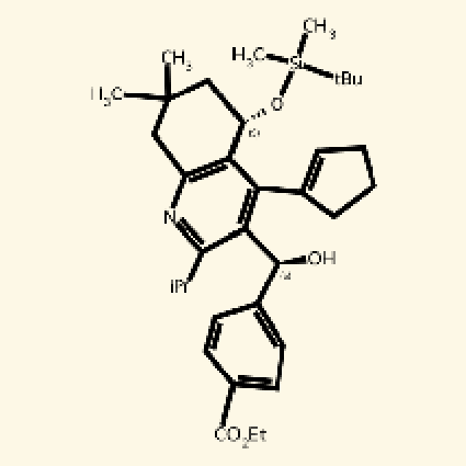 CCOC(=O)c1ccc([C@H](O)c2c(C(C)C)nc3c(c2C2=CCCC2)[C@@H](O[Si](C)(C)C(C)(C)C)CC(C)(C)C3)cc1